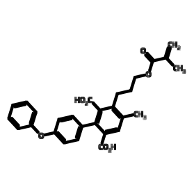 C=C(C)C(=O)OCCCc1c(C)cc(C(=O)O)c(-c2ccc(Oc3ccccc3)cc2)c1C(=O)O